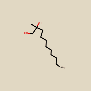 CCCCCCCCCCCCCCCC(C)(O)CO